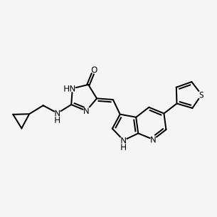 O=C1NC(NCC2CC2)=NC1=Cc1c[nH]c2ncc(-c3ccsc3)cc12